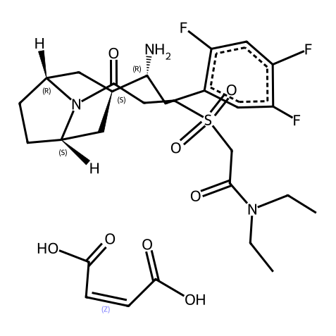 CCN(CC)C(=O)CS(=O)(=O)CCC(=O)N1[C@@H]2CC[C@H]1C[C@H]([C@H](N)Cc1cc(F)c(F)cc1F)C2.O=C(O)/C=C\C(=O)O